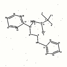 CC(C)(C)[S+]([O-])NC(CCCc1ccccc1)c1ncccn1